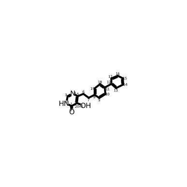 O=c1[nH]cnc(CCc2ccc(-c3ccccc3)cc2)c1O